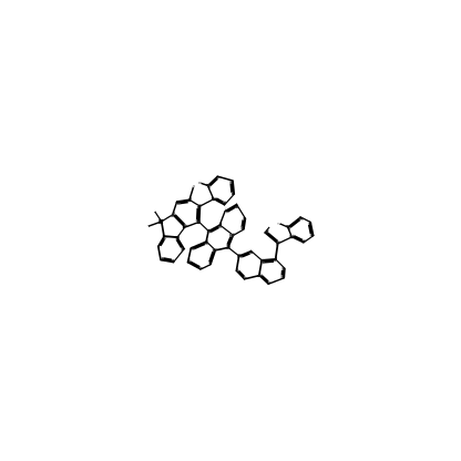 CC1(C)c2ccccc2-c2c1cc1oc3ccccc3c1c2-c1c2ccccc2c(-c2ccc3cccc(-c4coc5ccccc45)c3c2)c2ccccc12